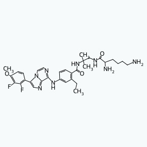 CCc1cc(Nc2nccn3c(-c4ccc(OC)c(F)c4F)cnc23)ccc1C(=O)NC(C)(C)CNC(=O)C(N)CCCCN